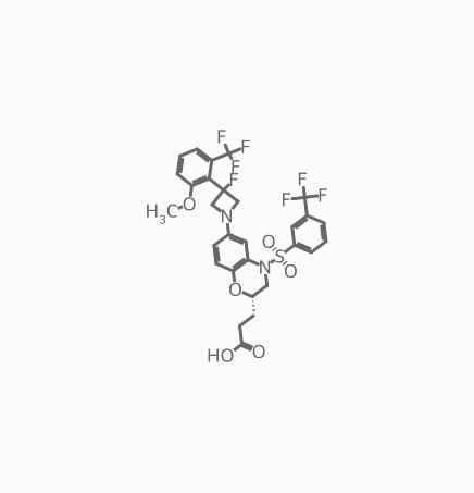 COc1cccc(C(F)(F)F)c1C1(F)CN(c2ccc3c(c2)N(S(=O)(=O)c2cccc(C(F)(F)F)c2)C[C@H](CCC(=O)O)O3)C1